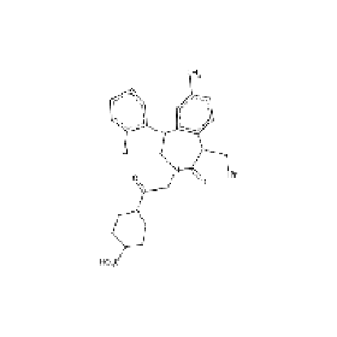 Cc1ccc2c(c1)C(c1ccccc1Cl)CN(CC(=O)N1CCC(C(=O)O)CC1)C(=O)C2CC(C)C